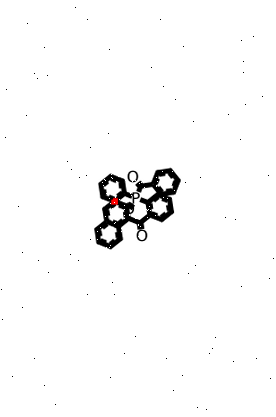 O=C(c1ccccc1P(=O)(C(=O)c1ccccc1)c1ccccc1)c1cccc2ccccc12